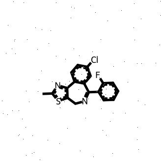 Cc1nc2c(s1)CN=C(c1ccccc1F)c1cc(Cl)ccc1-2